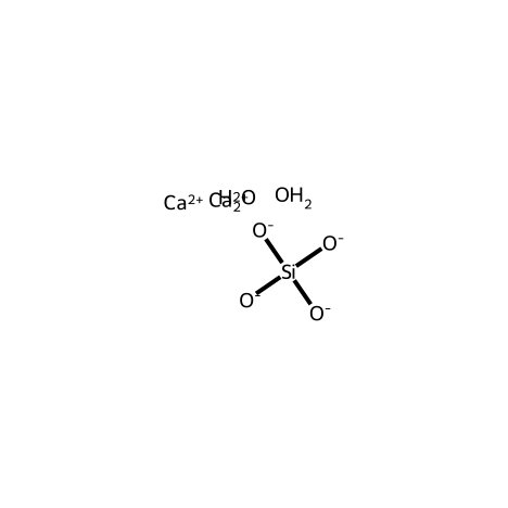 O.O.[Ca+2].[Ca+2].[O-][Si]([O-])([O-])[O-]